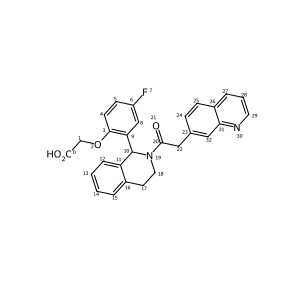 O=C(O)COc1ccc(F)cc1C1c2ccccc2CCN1C(=O)Cc1ccc2cccnc2c1